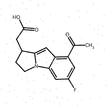 CC(=O)c1cc(F)cc2c1cc1n2CCC1CC(=O)O